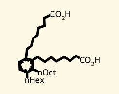 CCCCCCCCc1c(CCCCCC)ccc(CCCCCCCC(=O)O)c1CCCCCCCC(=O)O